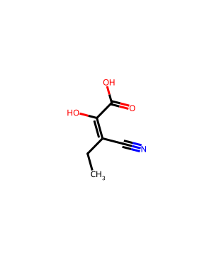 CC/C(C#N)=C(\O)C(=O)O